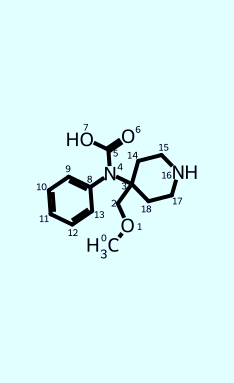 COCC1(N(C(=O)O)c2ccccc2)CCNCC1